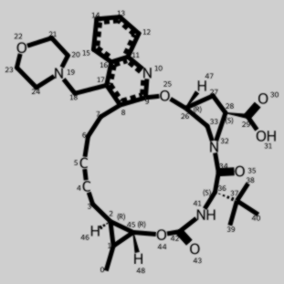 CC1[C@H]2CCCCCc3c(nc4ccccc4c3CN3CCOCC3)O[C@@H]3C[C@@H](C(=O)O)N(C3)C(=O)[C@H](C(C)(C)C)NC(=O)O[C@H]12